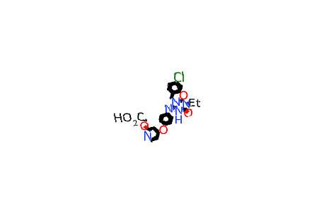 CCn1c(=O)[nH]/c(=N\c2ccc(OC3=CC(OCC(=O)O)=NCC3)cc2)n(Cc2ccc(Cl)cc2)c1=O